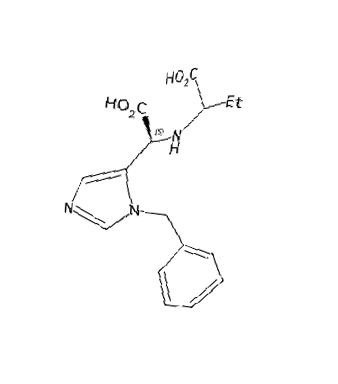 CCC(N[C@H](C(=O)O)c1cncn1Cc1ccccc1)C(=O)O